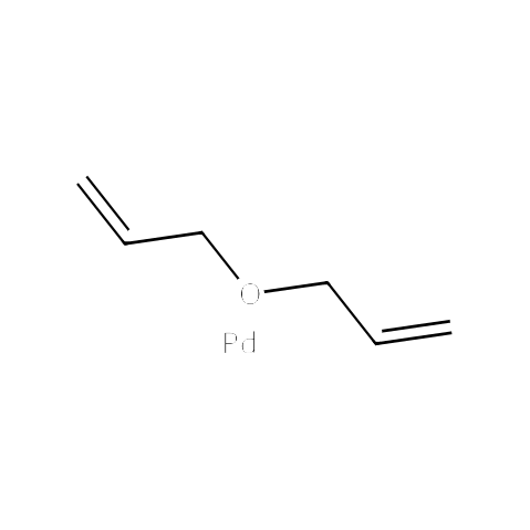 C=CCOCC=C.[Pd]